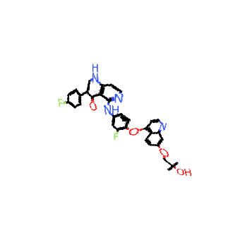 CC(C)(O)COc1ccc2c(Oc3ccc(Nc4nccc5[nH]cc(-c6ccc(F)cc6)c(=O)c45)cc3F)ccnc2c1